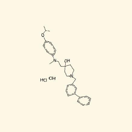 CC(C)Oc1ccc(N(C)CCC2(O)CCN(Cc3cccc(-c4ccccc4)c3)CC2)cc1.Cl.Cl